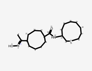 C/C(=N\O)C1CCCCC(C(=O)NC2CCCCCCCCC2)CCC1